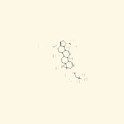 C=C(C)[C@@H]1CC[C@]2(CCC(=O)OCC)CC[C@]3(C)[C@H](CC[C@@H]4[C@@]5(C)CC[C@H](OC(=O)CC(C)(C)C(=O)O)C(C)(C)[C@@H]5CC[C@]43C)[C@@H]12